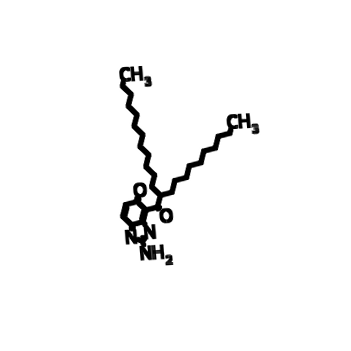 CCCCCCCCCCCCC(CCCCCCCCCC)C(=O)C1=C2N=C(N)N=C2C=CC1=O